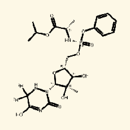 [2H]C1([2H])NN([C@@H]2O[C@H](CO[P@@](=O)(N[C@@H](C)C(=O)OC(C)C)Oc3ccccc3)[C@@H](O)[C@@]2(C)O)C(=O)N=C1O